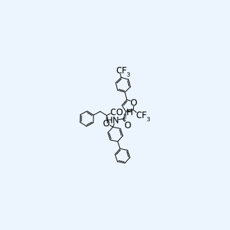 O=C(NC1(OC(Cc2ccccc2)C(=O)O)C=CC(c2ccccc2)C=C1)c1cc(-c2ccc(C(F)(F)F)cc2)oc1C(F)(F)F